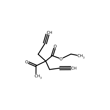 C#CCC(CC#C)(C(C)=O)C(=O)OCC